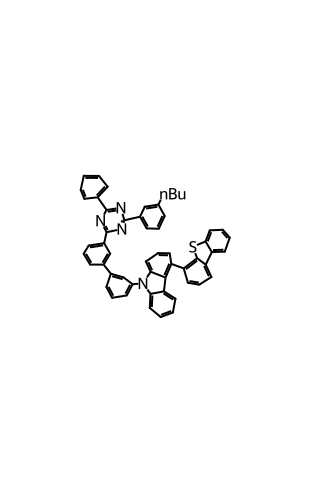 CCCCc1cccc(-c2nc(-c3ccccc3)nc(-c3cccc(-c4cccc(-n5c6ccccc6c6c(-c7cccc8c7sc7ccccc78)cccc65)c4)c3)n2)c1